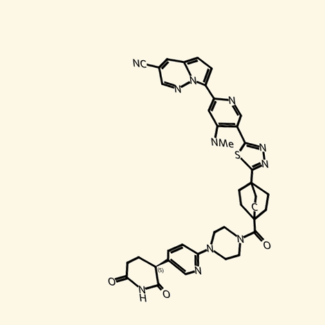 CNc1cc(-c2ccc3cc(C#N)cnn23)ncc1-c1nnc(C23CCC(C(=O)N4CCN(c5ccc([C@@H]6CCC(=O)NC6=O)cn5)CC4)(CC2)CC3)s1